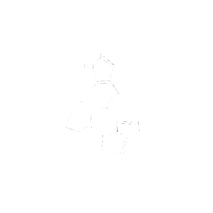 c1cc(N2CCCCC2)c2c(-c3ccc4[nH]ncc4c3)c[nH]c2n1